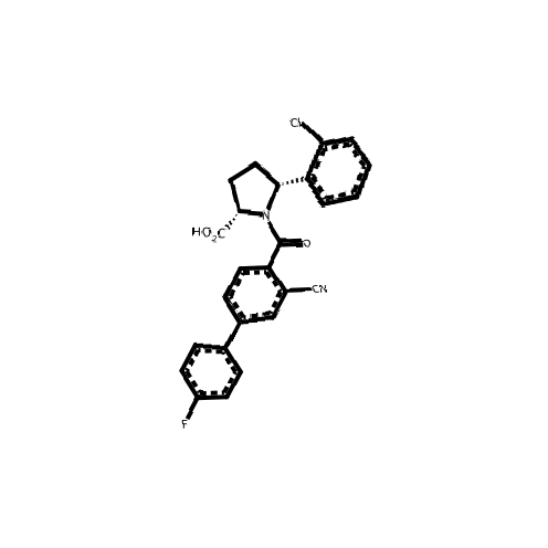 N#Cc1cc(-c2ccc(F)cc2)ccc1C(=O)N1[C@@H](c2ccccc2Cl)CC[C@H]1C(=O)O